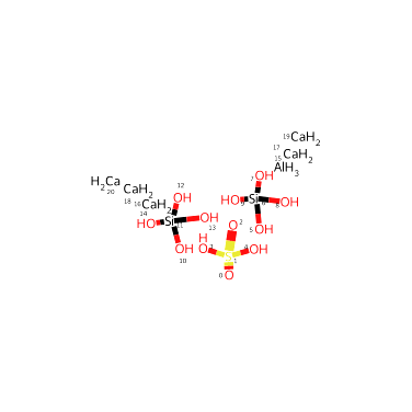 O=S(=O)(O)O.O[Si](O)(O)O.O[Si](O)(O)O.[AlH3].[CaH2].[CaH2].[CaH2].[CaH2].[CaH2]